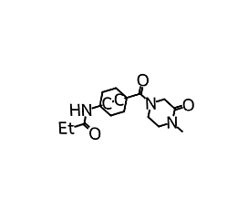 CCC(=O)NC12CCC(C(=O)N3CCN(C)C(=O)C3)(CC1)CC2